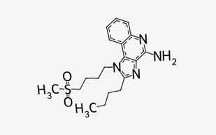 CCCCc1nc2c(N)nc3ccccc3c2n1CCCCS(C)(=O)=O